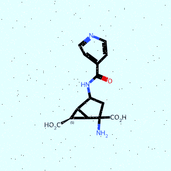 NC1(C(=O)O)CC(NC(=O)c2ccncc2)C2C1[C@H]2C(=O)O